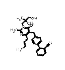 CCCCc1nc(C)n(CC(C)(C)CO)c(=O)c1Cc1ccc(-c2ccccc2C#N)cc1